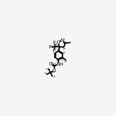 CC1=NOC(c2ccc(NC(=O)OC(C)(C)C)c(C)c2)(C(F)(F)F)C1